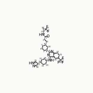 O=C(/C=C/c1cccc(-c2nc(Nc3ccc(-c4cn[nH]c4)cc3)c3cc(C(F)(F)F)ccc3n2)c1)NC1CC1(F)F